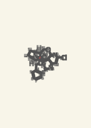 O=C(OCc1ccccc1)N1[C@@H]2CC[C@H]1[C@H]1COc3nc(Cl)cc4nc(F)nc(c34)N1C2